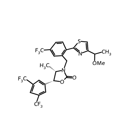 COC(C)c1csc(-c2ccc(C(F)(F)F)cc2CN2C(=O)O[C@H](c3cc(C(F)(F)F)cc(C(F)(F)F)c3)[C@@H]2C)n1